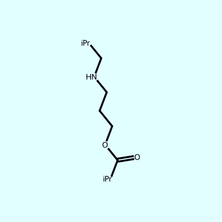 CC(C)CNCCCOC(=O)C(C)C